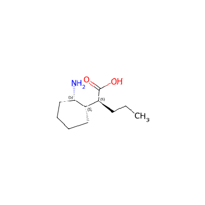 CCC[C@H](C(=O)O)[C@@H]1CCCC[C@@H]1N